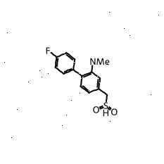 CNc1cc(C[SH](=O)=O)ccc1-c1ccc(F)cc1